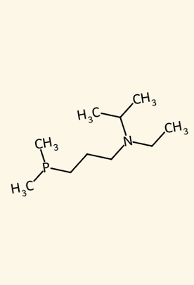 CCN(CCCP(C)C)C(C)C